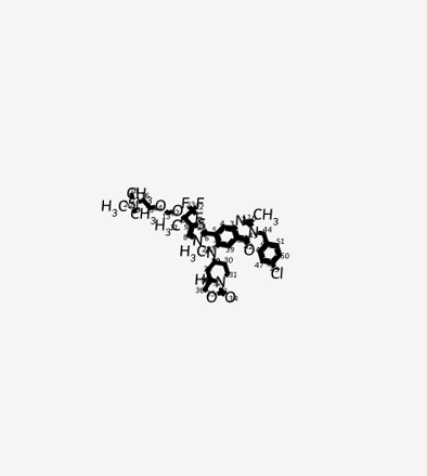 Cc1nc2cc(-c3ncc([C@@](C)(OCOCC[Si](C)(C)C)C(F)(F)F)s3)c(N(C)[C@H]3CCN4C(=O)OC[C@@H]4C3)cc2c(=O)n1Cc1ccc(Cl)cc1